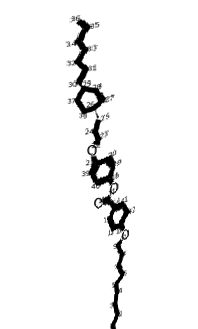 CCCCCCCCCCOc1ccc(C(=O)Oc2ccc(OCCC[C@H]3CC[C@H](CCCCCCC)CC3)cc2)cc1